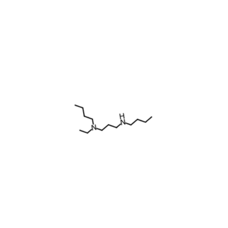 CCCCNCCCN(CC)CCCC